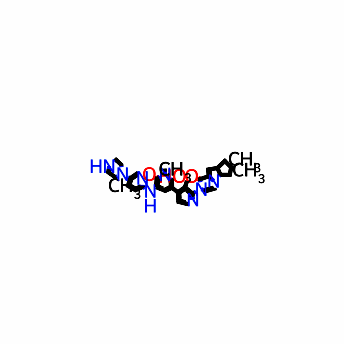 C[C@H]1CNCCN1c1ccc(Nc2cc(-c3ccnc(N4C=CN5C(=CC6CC(C)(C)CC65)C4=O)c3CO)cn(C)c2=O)nc1